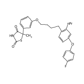 CCCc1cc(Oc2ccc(F)cc2)ccc1CCCCOc1cccc(C2(C)SC(=O)NC2=O)c1